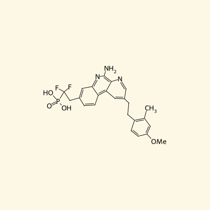 COc1ccc(CCc2cnc3c(N)nc4cc(CC(F)(F)P(=O)(O)O)ccc4c3c2)c(C)c1